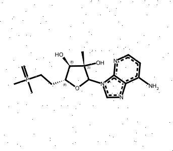 C=P(C)(C)CC[C@H]1OC(n2cnc3c(N)ccnc32)[C@@](C)(O)[C@@H]1O